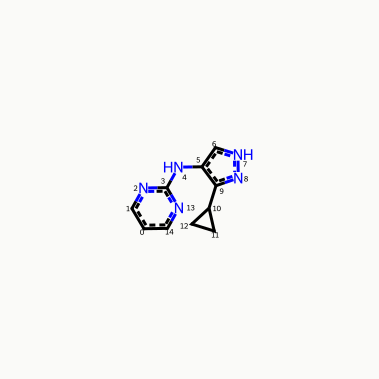 c1cnc(Nc2c[nH]nc2C2CC2)nc1